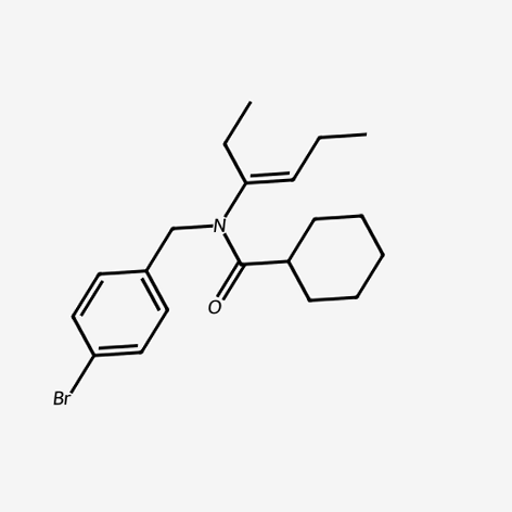 CC/C=C(\CC)N(Cc1ccc(Br)cc1)C(=O)C1CCCCC1